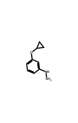 NNc1cccc(OC2CC2)c1